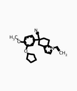 C=Cn1ccc2c1CCC(C#N)(c1ccc(OC)c(OC3CCCC3)c1)C2